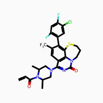 C=CC(=O)N1C(C)CN(c2nc(=O)n3c4c(c(-c5cc(Cl)c(F)cc5F)c(C(F)(F)F)cc24)SCCC3)CC1C